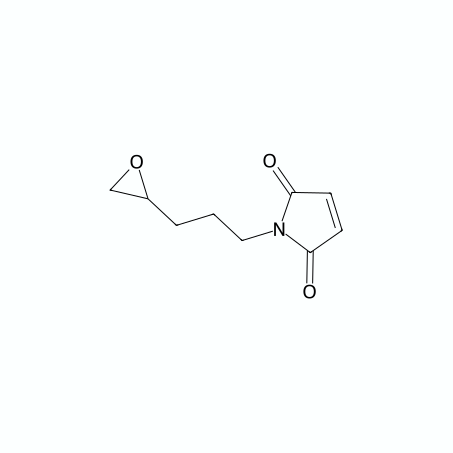 O=C1C=CC(=O)N1CCCC1CO1